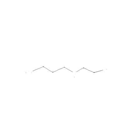 CCCCCCCSCCO